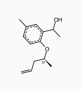 C=CC[C@H](C)Oc1ccc(C)cc1C(C)O